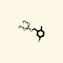 Cc1ccc(F)cc1COB(OC(C)C)OC(C)C